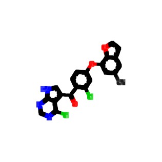 N#Cc1cc(Oc2ccc(C(=O)c3c[nH]c4ncnc(Cl)c34)c(Cl)c2)c2occc2c1